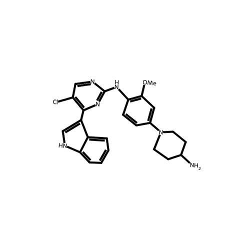 COc1cc(N2CCC(N)CC2)ccc1Nc1ncc(Cl)c(-c2c[nH]c3ccccc23)n1